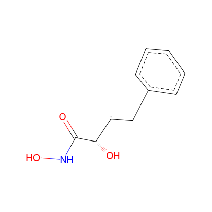 O=C(NO)[C@@H](O)[CH]Cc1ccccc1